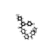 O=C(c1cc(-c2ccc(Cl)cc2)nc(-c2ccc(Cl)cc2)c1)N1CCC(N2CCC[C@@H](C(=O)N3CCC4(CC3)OCCO4)C2)CC1